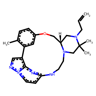 C=CCN1C[C@H]2COc3ccc(C)c(c3)-c3cnn4ccc(nc34)NCCN2CC1(C)C